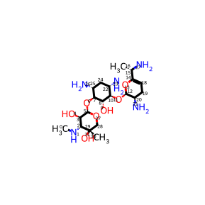 CN[C@@H]1[C@@H](O)[C@@H](O[C@@H]2[C@@H](O)[C@H](O[C@H]3OC([C@H](C)N)=CC[C@H]3N)[C@@H](N)C[C@H]2N)OC[C@]1(C)O